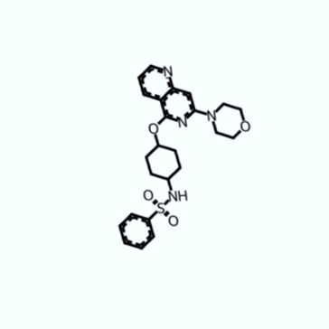 O=S(=O)(NC1CCC(Oc2nc(N3CCOCC3)cc3ncccc23)CC1)c1ccccc1